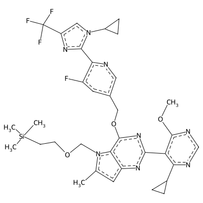 COc1ncnc(C2CC2)c1-c1nc(OCc2cnc(-c3nc(C(F)(F)F)cn3C3CC3)c(F)c2)c2c(cc(C)n2COCC[Si](C)(C)C)n1